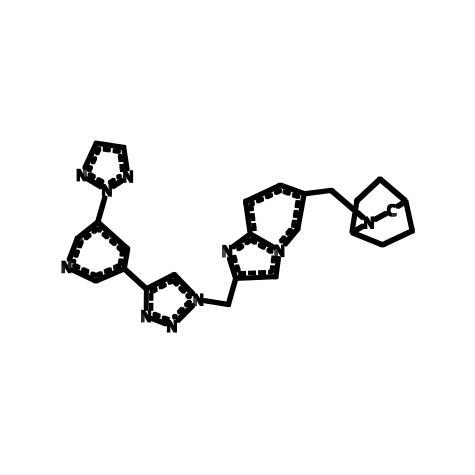 c1cnn(-c2cncc(-c3cn(Cc4cn5cc(CN6CC7CCC6CC7)ccc5n4)nn3)c2)n1